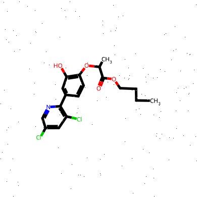 CCCCOC(=O)C(C)Oc1ccc(-c2ncc(Cl)cc2Cl)cc1O